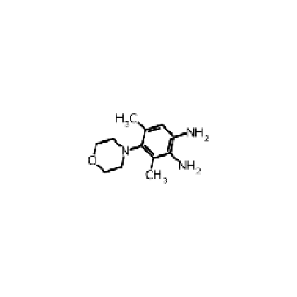 Cc1cc(N)c(N)c(C)c1N1CCOCC1